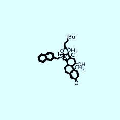 CC(C)(C)CCC1O[C@H]2CC3C4CCC5=CC(=O)C=CC5(C)C4[C@@H](O)CC3(C)[C@]2(C(=O)SCc2ccc3ccccc3c2)O1